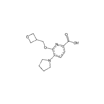 O=C(O)c1ccc(N2CCCC2)c(OCC2COC2)n1